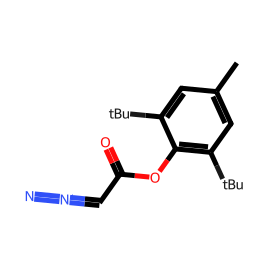 Cc1cc(C(C)(C)C)c(OC(=O)C=[N+]=[N-])c(C(C)(C)C)c1